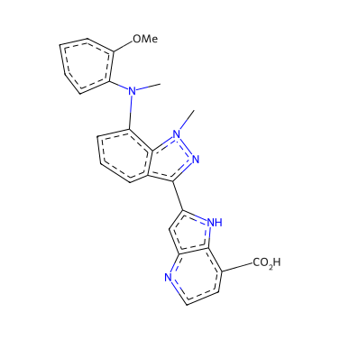 COc1ccccc1N(C)c1cccc2c(-c3cc4nccc(C(=O)O)c4[nH]3)nn(C)c12